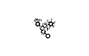 CCN(CC(=O)N(Cc1cnc(C2CCCCC2)cn1)c1ccc2nn[nH]c2c1)[S+]([O-])c1c(F)c(F)c(F)c(F)c1F